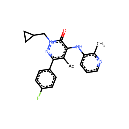 CC(=O)c1c(-c2ccc(F)cc2)nn(CC2CC2)c(=O)c1Nc1cccnc1C